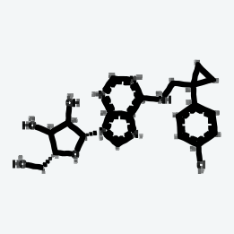 OC[C@H]1O[C@@H](n2cnc3c(NCC4(c5ccc(Cl)cc5)CC4)ncnc32)C(O)C1O